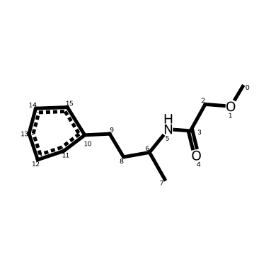 COCC(=O)NC(C)CCc1ccccc1